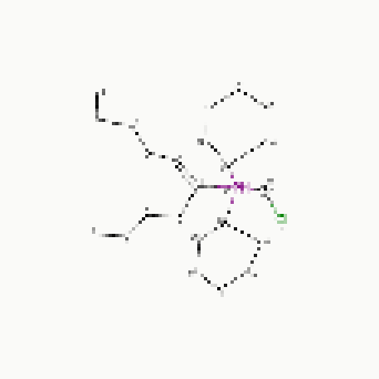 CCCCC=C(CCCC)[PH]([Zr][Cl])(C1CCCCC1)C1CCCCC1